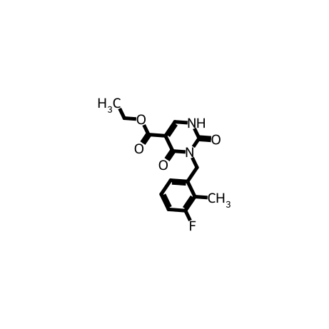 CCOC(=O)c1c[nH]c(=O)n(Cc2cccc(F)c2C)c1=O